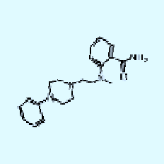 CN(CCN1CCN(c2ccccc2)CC1)c1ccccc1C(N)=O